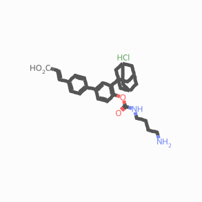 Cl.NCCCCNC(=O)Oc1ccc(-c2ccc(C=CC(=O)O)cc2)cc1C12CC3CC(CC(C3)C1)C2